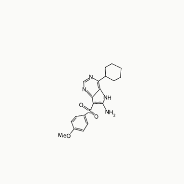 COc1ccc(S(=O)(=O)c2c(N)[nH]c3c(C4CCCCC4)ncnc23)cc1